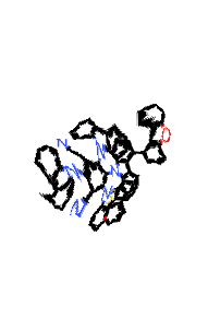 N#Cc1c(-n2c3ccccc3c3ccccc32)c(C#N)c(-n2c3ccccc3c3ccccc32)c(-n2c3cccc(-c4cccc5oc6ccccc6c45)c3c3ccc4c5ccccc5sc4c32)c1-n1c2ccccc2c2ccccc21